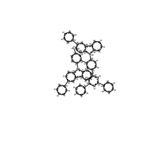 N#Cc1ccc(-n2c3ccccc3c3cc(-c4ccccc4)ccc32)c(-c2cc(-c3nc(-c4ccccc4)nc(-c4ccccc4)n3)ccc2-n2c3ccccc3c3cc(-c4ccccc4)ccc32)c1